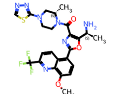 COc1ccc(-c2nc(C(=O)N3CCN(c4nncs4)C[C@@H]3C)c([C@H](C)N)o2)c2ccc(C(F)(F)F)nc12